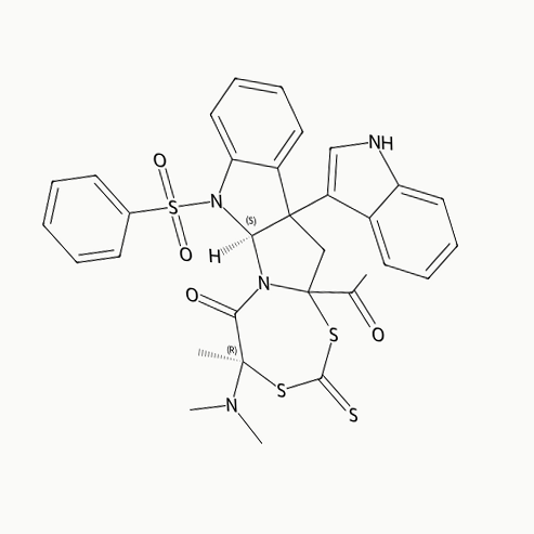 CC(=O)C12CC3(c4c[nH]c5ccccc45)c4ccccc4N(S(=O)(=O)c4ccccc4)[C@@H]3N1C(=O)[C@](C)(N(C)C)SC(=S)S2